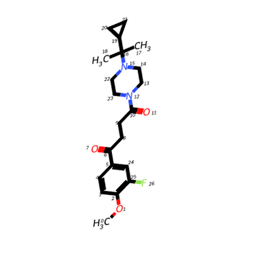 COc1ccc(C(=O)CCC(=O)N2CCN(C(C)(C)C3CC3)CC2)cc1F